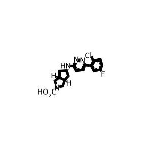 O=C(O)N1C[C@H]2C[C@@H](Nc3ccc(-c4cc(F)ccc4Cl)nn3)C[C@H]2C1